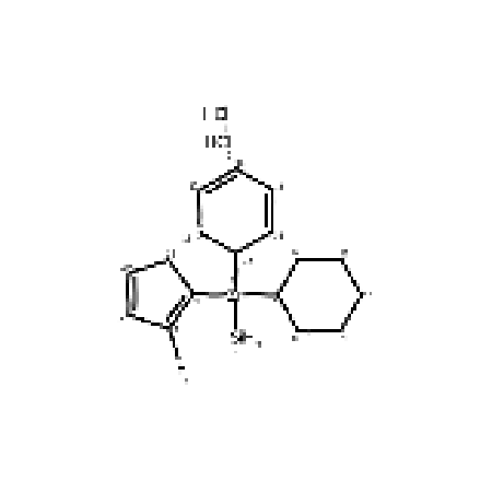 Cl.Cl.FC1=[C]([Zr]([SiH3])([CH]2CCCCC2)[CH]2C=CC=CS2)CC=C1